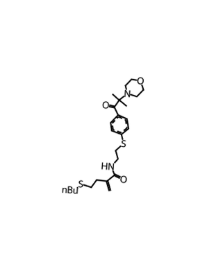 C=C(CCSCCCC)C(=O)NCCSc1ccc(C(=O)C(C)(C)N2CCOCC2)cc1